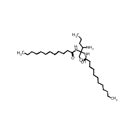 CCCCCCCCCCCC(=O)NC(CC)(NC(=O)CCCCCCCCCCC)C(N)CCC